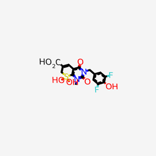 Cn1c2c(c(=O)n(Cc3cc(F)c(O)c(F)c3)c1=O)C=C(C(=O)O)CS2(O)O